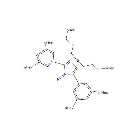 CCCCCCCCCCCC[CH2][Ni][CH2]CCCCCCCCCCCC.CCCCCCc1cc(CCCCCC)cc(C2=CC=C(c3cc(CCCCCC)cc(CCCCCC)c3)[N+]2=[N-])c1